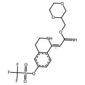 N=C(/C=C1\NCCc2cc(OS(=O)(=O)C(F)(F)F)ccc21)OCC1COCCO1